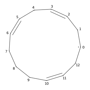 [CH]1CC=CCC=CCCCC=CC1